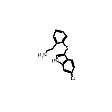 NCCc1ccccc1Sc1c[nH]c2cc(Cl)ccc12